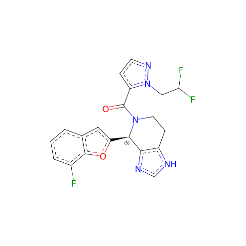 O=C(c1ccnn1CC(F)F)N1CCc2[nH]cnc2[C@H]1c1cc2cccc(F)c2o1